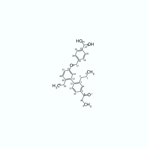 CCCc1cc(C(=O)CC)ccc1-c1cc(OCc2ccc(C(O)O)cc2)ccc1CC